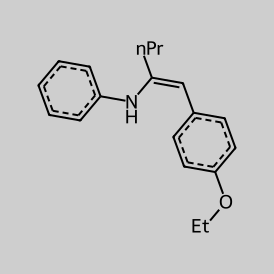 CCC/C(=C/c1ccc(OCC)cc1)Nc1ccccc1